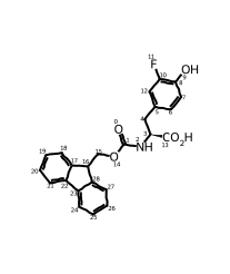 O=C(N[C@@H](Cc1ccc(O)c(F)c1)C(=O)O)OCC1c2ccccc2-c2ccccc21